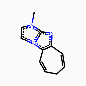 Cn1ccn2c3c(nc12)C=CCC=C3